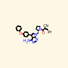 CC(C)/C=C(/C#N)C(=O)N1CCC[C@@H]1Cn1cc(-c2ccc(Oc3ccccc3)cc2)c2c(N)ncnc21